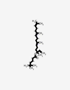 C=CC(C)(CC/C=C(\C)CC/C=C(\C)CCC=C(C)C)OC(=O)CCCC(C)(C)C